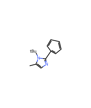 Cc1cnc(-c2ccccc2)n1C(C)(C)C